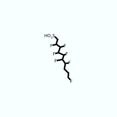 O=S(=O)(O)CC(F)C(F)C(F)C(F)C(F)C(F)CCCF